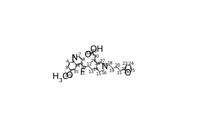 COc1ccc2nccc([C@@H](F)CCC3CCN(CCCCc4ccco4)CC3CCC(=O)O)c2c1